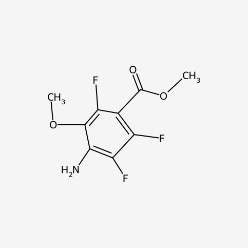 COC(=O)c1c(F)c(F)c(N)c(OC)c1F